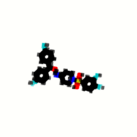 O=S(=O)(c1ccc(F)c(F)c1)N1CCC(=NOC(c2ccc(F)cc2)c2ccc(F)cc2)CC1